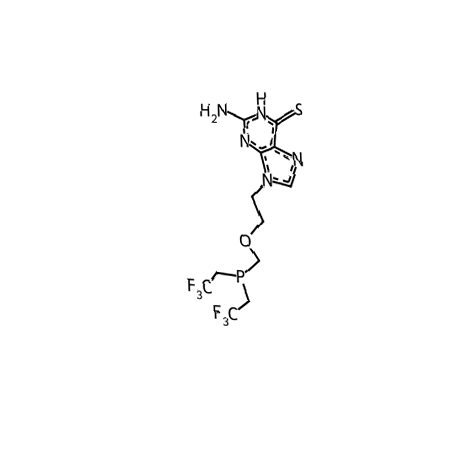 Nc1nc2c(ncn2CCOCP(CC(F)(F)F)CC(F)(F)F)c(=S)[nH]1